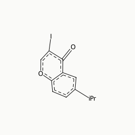 CC(C)c1ccc2occ(I)c(=O)c2c1